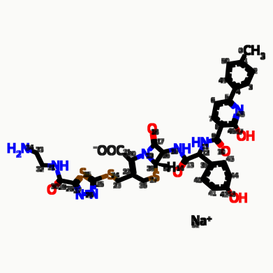 Cc1ccc(-c2ccc(C(=O)NC(C(=O)NC3C(=O)N4C(C(=O)[O-])=C(CSc5nnc(C(=O)NCCN)s5)CS[C@@H]34)c3ccc(O)cc3)c(O)n2)cc1.[Na+]